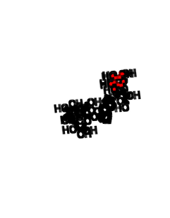 C=C1CC23CCC4C(C)(C(=O)OC5OC(CO)C(O)C(OC6OC(CO)C(O)C(O)C6O)C5OC5OC(CO)C(O)C(O)C5O)CCCC4(C)C2CCC1(OC1OC(CO)C(O)C(OC2OC(CO)C(O)C(O)C2O)C1OC1OC(C)C(O)C(O)C1O)C3